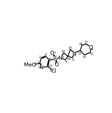 COc1ccc(S(=O)(=O)N2CC3(CN(C4CCOCC4)C3)C2)c(Cl)n1